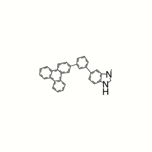 CN1CNc2ccc(-c3cccc(-c4ccc5c6ccccc6c6ccccc6c5c4)c3)cc21